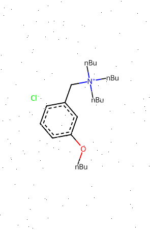 CCCCOc1cccc(C[N+](CCCC)(CCCC)CCCC)c1.[Cl-]